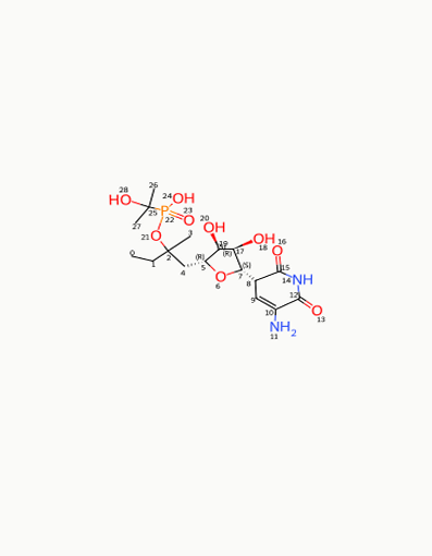 CCC(C)(C[C@H]1O[C@@H](C2C=C(N)C(=O)NC2=O)[C@H](O)[C@@H]1O)OP(=O)(O)C(C)(C)O